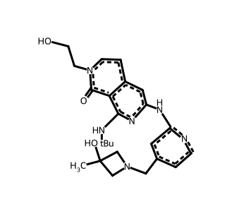 CC1(O)CN(Cc2ccnc(Nc3cc4ccn(CCO)c(=O)c4c(NC(C)(C)C)n3)c2)C1